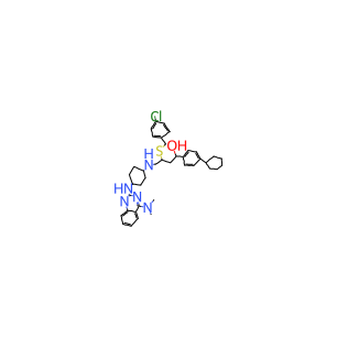 CN(C)c1nc(N[C@H]2CC[C@@H](NCC(CC(O)c3ccc(C4CCCCC4)cc3)SCc3ccc(Cl)cc3)CC2)nc2ccccc12